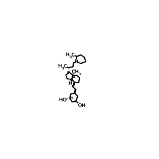 CC(CCN1CCCCC1C)[C@H]1CC[C@H]2C(=CC=C3C[C@@H](O)C[C@H](O)C3)CCC[C@]12C